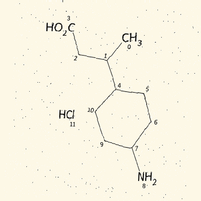 CC(CC(=O)O)C1CCC(N)CC1.Cl